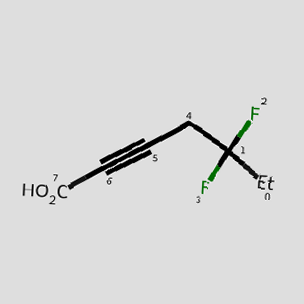 CCC(F)(F)CC#CC(=O)O